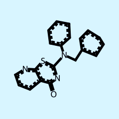 O=c1nc(N(Cc2ccccc2)c2ccccc2)sc2ncccc12